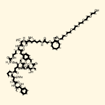 CC[C@H](C)[C@@H]([C@@H](CC(=O)N1CCC[C@H]1[C@H](OC)[C@@H](C)C(=O)N[C@H](C)[C@@H](O)c1ccccc1)OC)N(C)C(=O)[C@@H](NC(=O)[C@H](C(C)C)N(C)C(=O)OCc1ccc(CC(=O)[C@H](CCCNC(N)=O)NC(=O)[C@@H](NC(=O)[C@H](N)CCCCNC(=O)COC2CCCCCc3c2nnn3CCOCCOCCOCCOCCOCCO)C(C)C)cc1)C(C)C